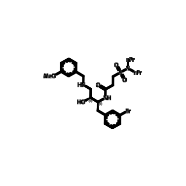 CCCN(CCC)S(=O)(=O)CCC(=O)N[C@@H](Cc1cccc(Br)c1)[C@@H](O)CNCc1cccc(OC)c1